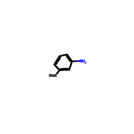 [CH2]Nc1cccc(N)c1